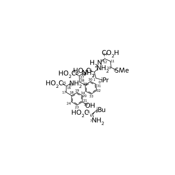 CC(C)C[C@H](N)C(=O)O.CC[C@H](C)[C@H](N)C(=O)O.CSCC[C@H](N)C(=O)O.N[C@@H](Cc1ccc(O)cc1)C(=O)O.N[C@@H](Cc1ccccc1)C(=O)O